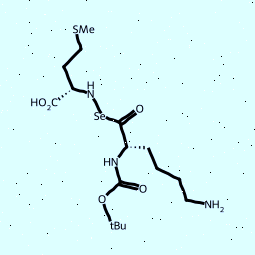 CSCC[C@H](N[Se]C(=O)[C@H](CCCCN)NC(=O)OC(C)(C)C)C(=O)O